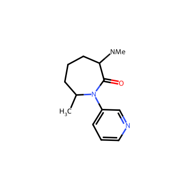 CNC1CCCC(C)N(c2cccnc2)C1=O